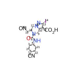 N#Cc1ccc(NC(=O)N2Cc3c(C(=O)O)c(I)nn3CC2CN=O)cc1